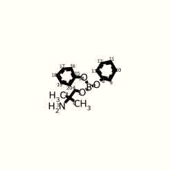 CC(C)(N)COB(Oc1ccccc1)Oc1ccccc1